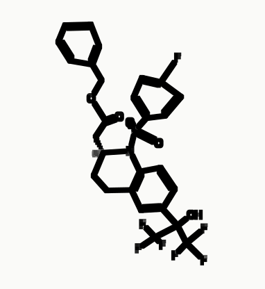 O=C(C[C@H]1CCc2cc(C(O)(C(F)(F)F)C(F)(F)F)ccc2N1S(=O)(=O)c1ccc(F)cc1)OCc1ccccc1